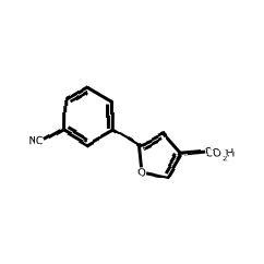 N#Cc1cccc(-c2cc(C(=O)O)co2)c1